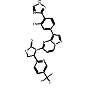 O=C1OCC(c2ccc(C(F)(F)F)cn2)N1c1ccn2ncc(-c3ccc(-c4nc[nH]n4)c(F)c3)c2n1